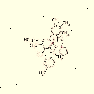 Cl.Cl.[CH2]=[Hf]([C]1=CC=CC1)([c]1ccc(C)cc1)([c]1ccc(C)cc1)[c]1c(C)c(C)cc2c1Cc1cc(C)c(C)cc1-2